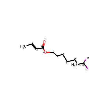 CC=CC(=O)OCCCCC[SiH2]C(I)I